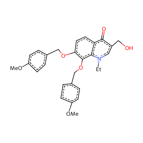 CCn1cc(CO)c(=O)c2ccc(OCc3ccc(OC)cc3)c(OCc3ccc(OC)cc3)c21